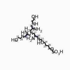 N/C(=C\NCCO)CN(C/C(N)=C/NCCO)C/C(N)=C/NCOCCCCOS(=O)(=O)O